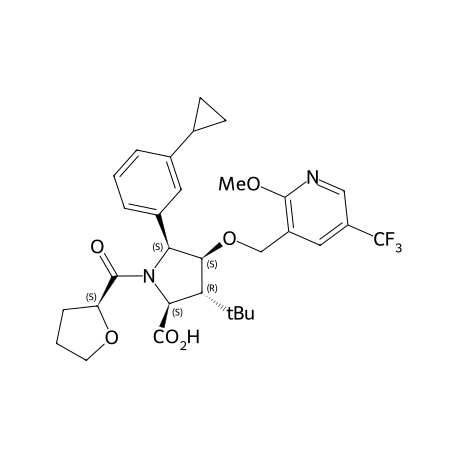 COc1ncc(C(F)(F)F)cc1CO[C@H]1[C@H](C(C)(C)C)[C@@H](C(=O)O)N(C(=O)[C@@H]2CCCO2)[C@H]1c1cccc(C2CC2)c1